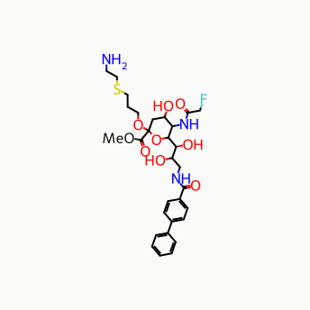 COC(=O)C1(OCCCSCCN)CC(O)C(NC(=O)CF)C([C@@H](O)C(O)CNC(=O)c2ccc(-c3ccccc3)cc2)O1